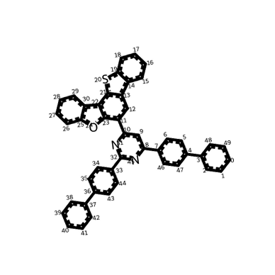 c1ccc(-c2ccc(-c3cc(-c4cc5c6ccccc6sc5c5c4oc4ccccc45)nc(-c4ccc(-c5ccccc5)cc4)n3)cc2)cc1